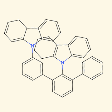 C1=CCC2C(=C1)N(c1cccc(-c3cccc(-c4ccccc4)c3-n3c4c(c5ccccc53)CCCC4)c1)c1ccccc12